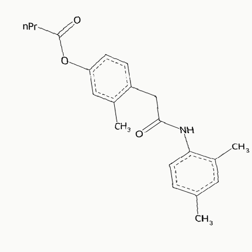 CCCC(=O)Oc1ccc(CC(=O)Nc2ccc(C)cc2C)c(C)c1